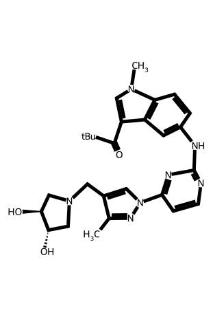 Cc1nn(-c2ccnc(Nc3ccc4c(c3)c(C(=O)C(C)(C)C)cn4C)n2)cc1CN1C[C@H](O)[C@@H](O)C1